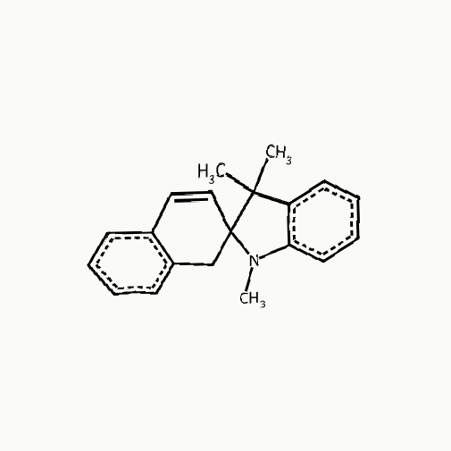 CN1c2ccccc2C(C)(C)C12C=Cc1ccccc1C2